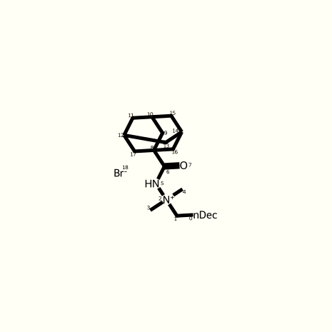 CCCCCCCCCCC[N+](C)(C)NC(=O)C12CC3CC(CC(C3)C1)C2.[Br-]